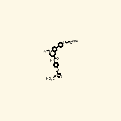 CCCCOCCOc1ccc(-c2ccc3c(c2)C=C(C(=O)Nc2ccc(SCc4cncn4CC(=O)O)cc2)CCN3CC(C)C)cc1